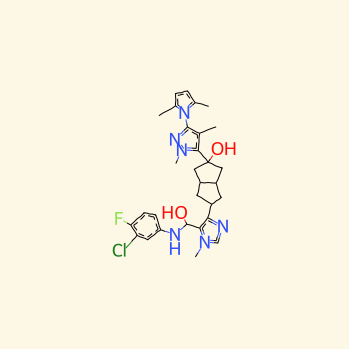 Cc1c(-n2c(C)ccc2C)nn(C)c1C1(O)CC2CC(c3ncn(C)c3C(O)Nc3ccc(F)c(Cl)c3)CC2C1